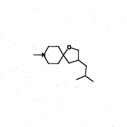 CC(C)CC1COC2(CCN(C)CC2)C1